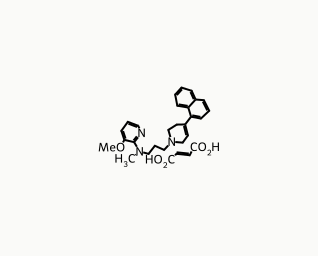 COc1cccnc1N(C)CCCN1CC=C(c2cccc3ccccc23)CC1.O=C(O)/C=C/C(=O)O